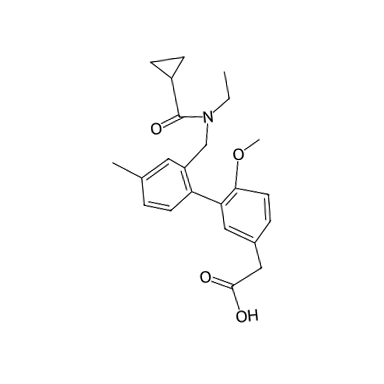 CCN(Cc1cc(C)ccc1-c1cc(CC(=O)O)ccc1OC)C(=O)C1CC1